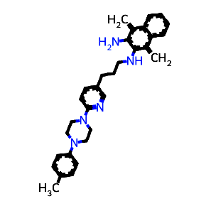 C=c1c(N)c(NCCCc2ccc(N3CCN(c4ccc(C)cc4)CC3)nc2)c(=C)c2ccccc12